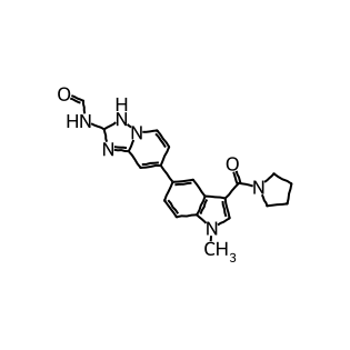 Cn1cc(C(=O)N2CCCC2)c2cc(C3=CC4=NC(NC=O)NN4C=C3)ccc21